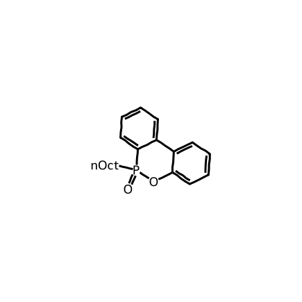 CCCCCCCCP1(=O)Oc2ccccc2-c2ccccc21